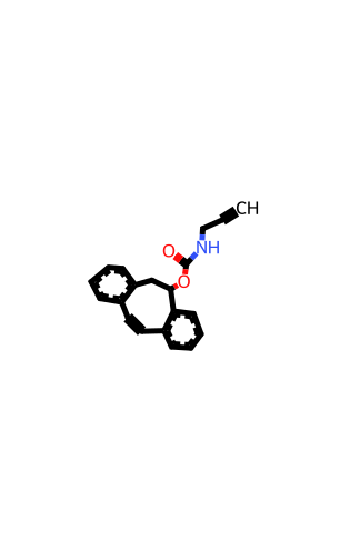 C#CCNC(=O)OC1Cc2ccccc2C#Cc2ccccc21